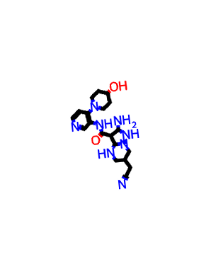 N#CCC1CNC2C(C(=O)Nc3cnccc3N3CCC(O)CC3)C(N)NN2C1